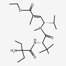 CCOC(=O)/C(C)=C/[C@H](C(C)C)N(C)C(=O)[C@@H](NC(=O)C(N)(CC)CC)C(C)(C)C